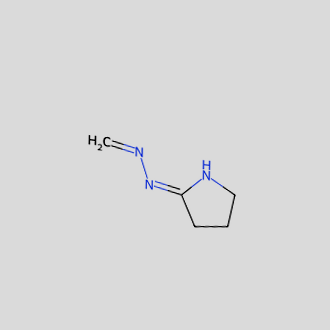 C=NN=C1CCCN1